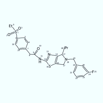 CCS(=O)(=O)c1ccc(CC(=O)Nc2nc3c(s2)CN(Cc2cccc(F)c2)C3C(C)C)cc1